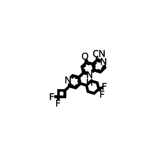 N#Cc1nccc2[nH]c(-c3cnc(C4CC(F)(F)C4)cc3C3CCC(F)(F)CC3)cc(=O)c12